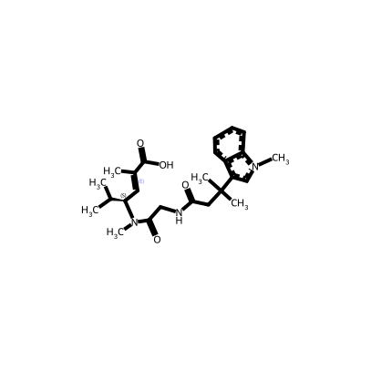 C/C(=C\[C@H](C(C)C)N(C)C(=O)CNC(=O)CC(C)(C)c1cn(C)c2ccccc12)C(=O)O